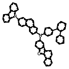 c1ccc(-c2ccccc2-c2ccc(N(c3ccc4c(ccc5cc(-n6c7ccccc7c7ccccc76)ccc54)c3)c3ccc4oc5c6ccccc6ccc5c4c3)cc2)cc1